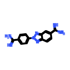 N=C(N)c1ccc(-n2nc3ccc(C(=N)N)cc3n2)cc1